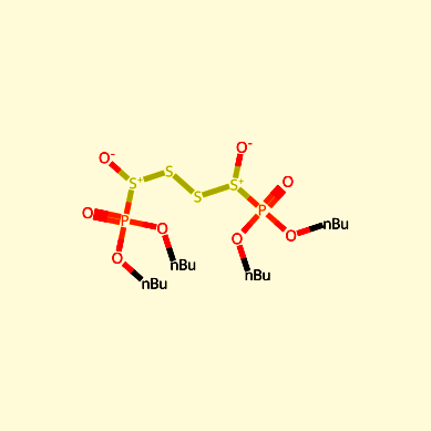 CCCCOP(=O)(OCCCC)[S+]([O-])SS[S+]([O-])P(=O)(OCCCC)OCCCC